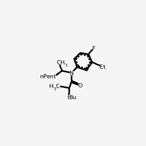 CCCCCC(C)N(C(=O)C(C)C(C)(C)C)c1ccc(F)c(CC)c1